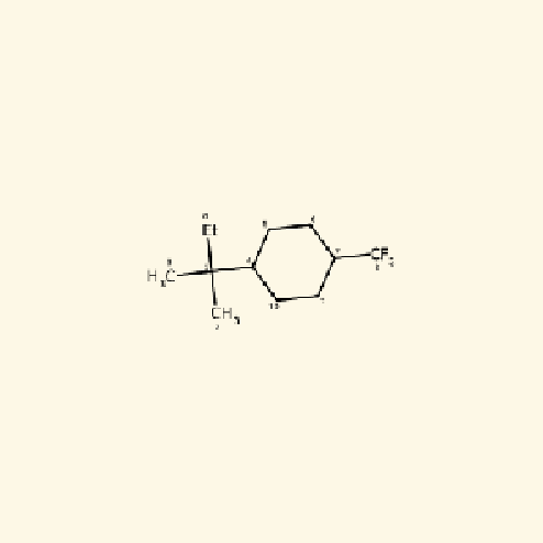 CCC(C)(C)C1CCC(C(F)(F)F)CC1